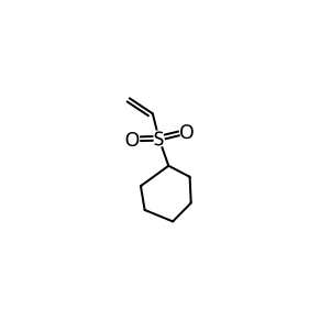 C=CS(=O)(=O)C1CCCCC1